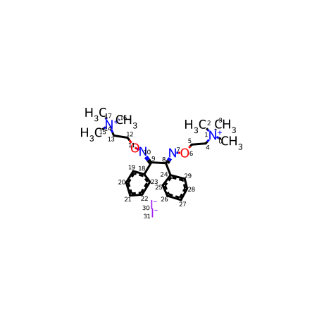 C[N+](C)(C)CCO/N=C(/C(=N/OCC[N+](C)(C)C)c1ccccc1)c1ccccc1.[I-].[I-]